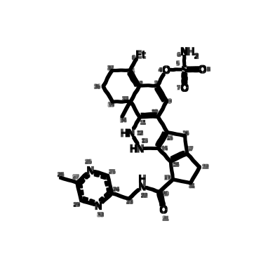 CCC1=C2C(OS(N)(=O)=O)=CC3=C(NNC4=C3CC3=C4C(C(=O)NCc4cnc(C)cn4)CC3)C2(C)CCC1